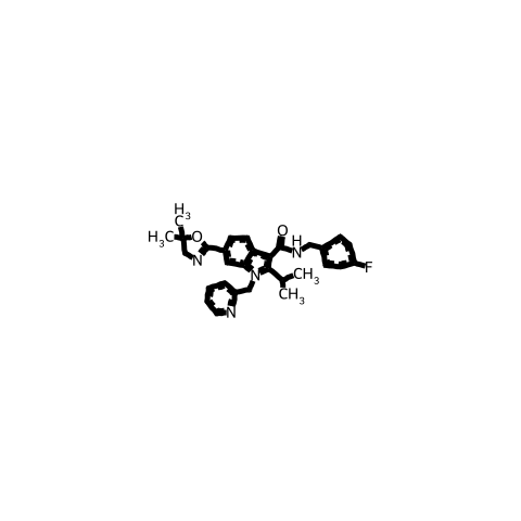 CC(C)c1c(C(=O)NCc2ccc(F)cc2)c2ccc(C3=NCC(C)(C)O3)cc2n1Cc1ccccn1